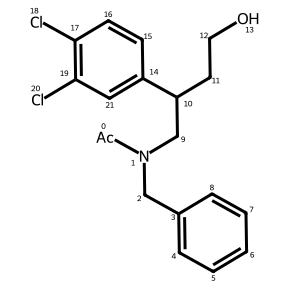 CC(=O)N(Cc1ccccc1)CC(CCO)c1ccc(Cl)c(Cl)c1